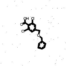 O=C(O)c1c(Cl)cc(COCc2ccccc2)cc1Cl